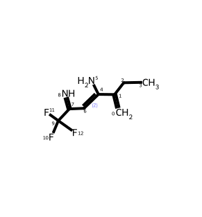 C=C(CC)/C(N)=C/C(=N)C(F)(F)F